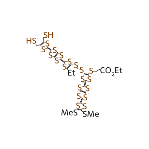 CCOC(=O)CCSC1=C(SCSC2=C(CC)SC(=C3SC4=C(SC(=C5SC(CS)=C(CS)S5)S4)S3)S2)SC(=C2SC3=C(SC(=C4SC(SC)=C(SC)S4)S3)S2)S1